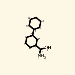 NC(O)C1CCCC(C2CCCCC2)C1